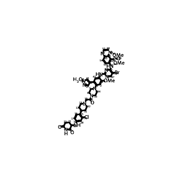 COc1cc(N2CCN(C(=O)CN3CCC(c4ccc(NC5CCC(=O)NC5=O)cc4Cl)CC3)CC2)c(-c2cnn(C)c2)cc1Nc1ncc(Br)c(Nc2ccc3nccnc3c2P(=O)(OC)OC)n1